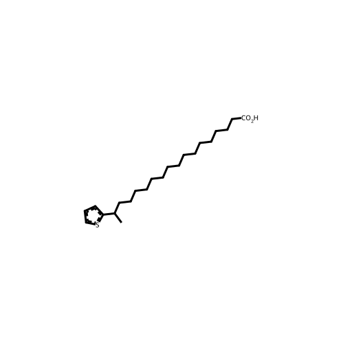 CC(CCCCCCCCCCCCCCCC(=O)O)c1cccs1